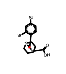 O=C(O)N1CC(c2ccc(Br)cc2Br)N2CCC1CC2